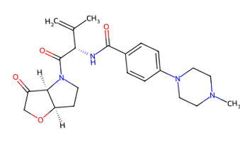 C=C(C)[C@H](NC(=O)c1ccc(N2CCN(C)CC2)cc1)C(=O)N1CC[C@H]2OCC(=O)[C@H]21